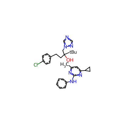 CC(C)(C)C(O)(CCc1ccc(Cl)cc1)Cn1cncn1.Cc1cc(C2CC2)nc(Nc2ccccc2)n1